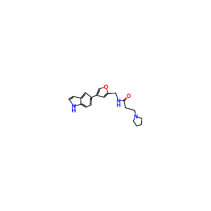 O=C(CCN1CCCC1)NCc1cc(-c2ccc3[nH]ccc3c2)co1